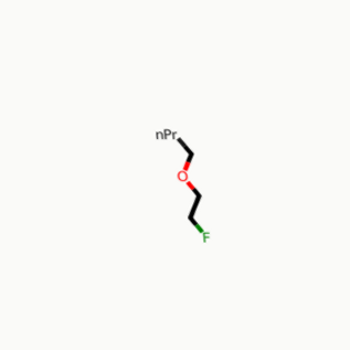 [CH2]CCCOCCF